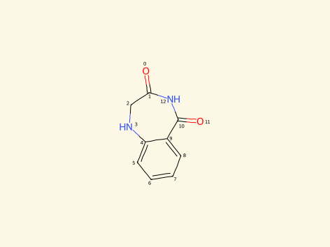 O=C1CNc2ccccc2C(=O)N1